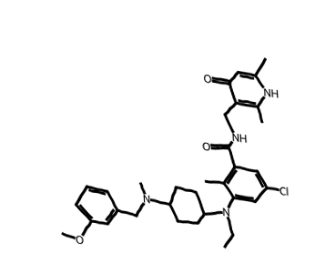 CCN(c1cc(Cl)cc(C(=O)NCc2c(C)[nH]c(C)cc2=O)c1C)C1CCC(N(C)Cc2cccc(OC)c2)CC1